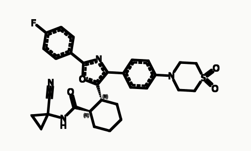 N#CC1(NC(=O)[C@@H]2CCCC[C@H]2c2oc(-c3ccc(F)cc3)nc2-c2ccc(N3CCS(=O)(=O)CC3)cc2)CC1